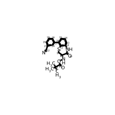 CC(C)(C)C(=O)ON[C@H]1CSc2c(cccc2-c2cccc(C#N)c2)NC1=O